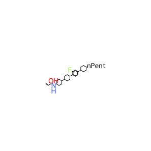 C=CC(O)NC1CCC(C2CCC(c3ccc(C4CCC(CCCCC)CC4)cc3F)CC2)CC1